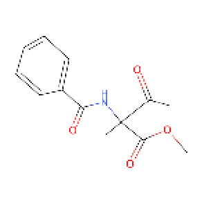 COC(=O)C(C)(NC(=O)c1ccccc1)C(C)=O